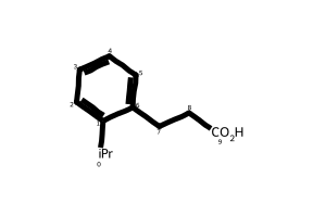 CC(C)c1ccccc1CCC(=O)O